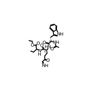 CCOC(=O)C(CC)NC(=O)[C@H](CCC(=O)C=N)NC(=O)[C@H](Cc1c[nH]c2ccccc12)NC(C)=O